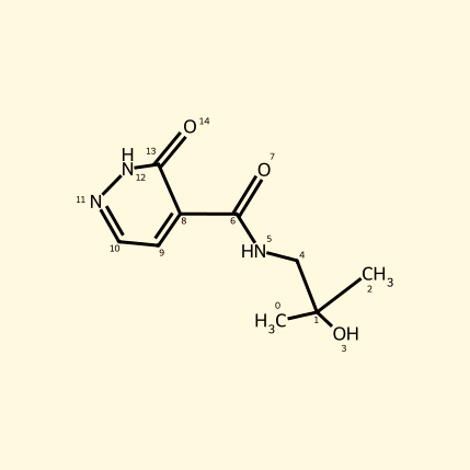 CC(C)(O)CNC(=O)c1ccn[nH]c1=O